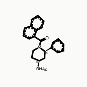 CC(=O)N[C@H]1CCN(C(=O)c2cccc3ccccc23)[C@@H](c2ccccc2)C1